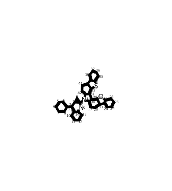 C1=C2C(c3ccccc3)=c3ccccc3=NC12n1c2ccc3c4ccccc4oc3c2c2c3sc4ccccc4c3ccc21